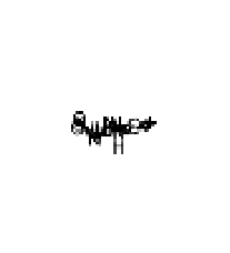 CS(=O)(=O)CCNCc1ncc(-c2ccc3c(Nc4ccc(OCc5ccc(F)cc5)cc4)ncnc3c2)s1